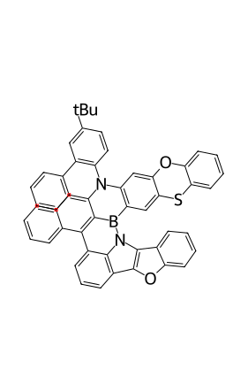 CC(C)(C)c1ccc(N2c3cc4c(cc3B3c5c2cc2ccccc2c5-c2cccc5c6oc7ccccc7c6n3c25)Sc2ccccc2O4)c(-c2ccccc2)c1